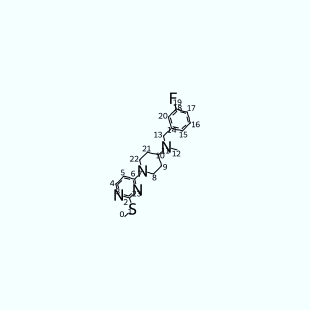 CSc1nccc(N2CCC(N(C)Cc3cccc(F)c3)CC2)n1